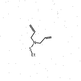 C=CCN(CC=C)SCC